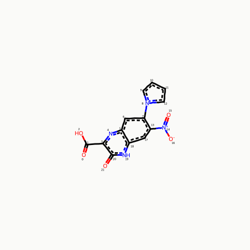 O=C(O)c1nc2cc(-n3cccc3)c([N+](=O)[O-])cc2[nH]c1=O